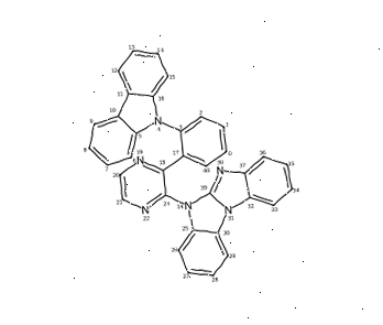 c1ccc(-n2c3ccccc3c3ccccc32)c(-c2nccnc2-n2c3ccccc3n3c4ccccc4nc23)c1